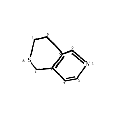 [c]1nccc2c1CCSC2